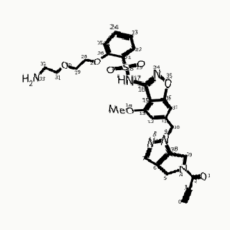 C#CC(=O)N1Cc2cnn(Cc3cc(OC)c4c(NS(=O)(=O)c5ccccc5OCCOCCN)noc4c3)c2C1